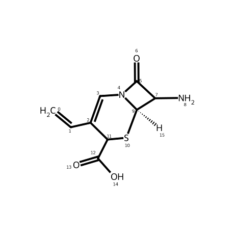 C=CC1=CN2C(=O)C(N)[C@H]2SC1C(=O)O